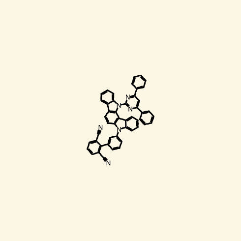 N#Cc1cccc(C#N)c1-c1cccc(-n2c3ccccc3c3c2ccc2c4ccccc4n(-c4nc(-c5ccccc5)cc(-c5ccccc5)n4)c23)c1